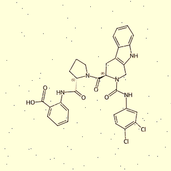 O=C(O)c1ccccc1NC(=O)[C@@H]1CCCN1C(=O)[C@H]1Cc2c([nH]c3ccccc23)CN1C(=O)Nc1ccc(Cl)c(Cl)c1